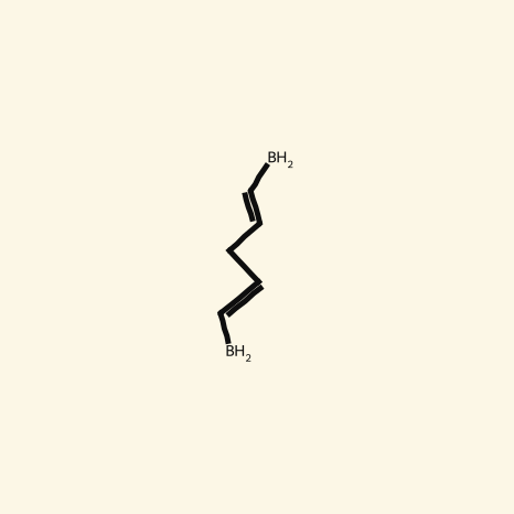 B/C=C/C/C=C/B